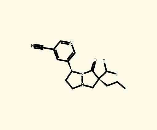 CCC[C@@]1(C(F)F)CN2CC[C@@H](c3cncc(C#N)c3)N2C1=O